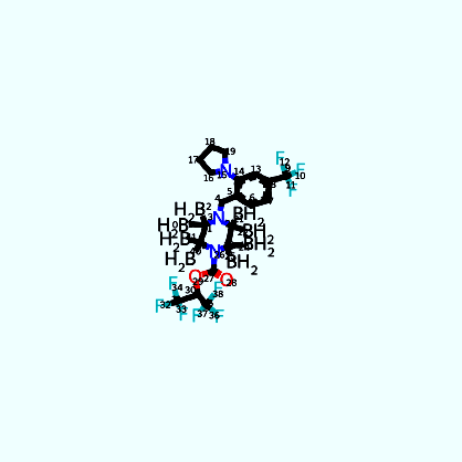 BC1(B)N(Cc2ccc(C(F)(F)F)cc2N2CCCC2)C(B)(B)C(B)(B)N(C(=O)OC(C(F)(F)F)C(F)(F)F)C1(B)B